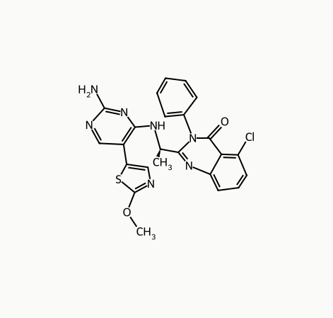 COc1ncc(-c2cnc(N)nc2N[C@H](C)c2nc3cccc(Cl)c3c(=O)n2-c2ccccc2)s1